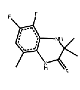 Cc1cc(F)c(F)c2c1NC(=S)C(C)(C)N2